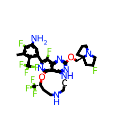 Cc1c(F)c(N)cc(-c2nc3c4c(nc(OC[C@@]56CCCN5C[C@H](F)C6)nc4c2F)NCCNCC[C@H](C(F)(F)F)O3)c1C(F)(F)F